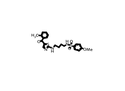 COc1ccc(S(=O)(=O)NCCCCNc2ncc(C(=O)c3ccccc3C)s2)cc1